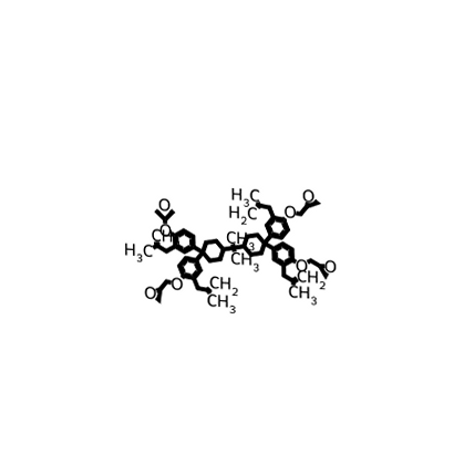 C=C(C)Cc1cc(C2(c3ccc(OCC4CO4)c(CC(=C)C)c3)CCC(C(C)(C)C3CCC(c4ccc(OCC5CO5)c(CC(=C)C)c4)(c4ccc(OC5COC5)c(CC(=C)C)c4)CC3)CC2)ccc1OCC1CO1